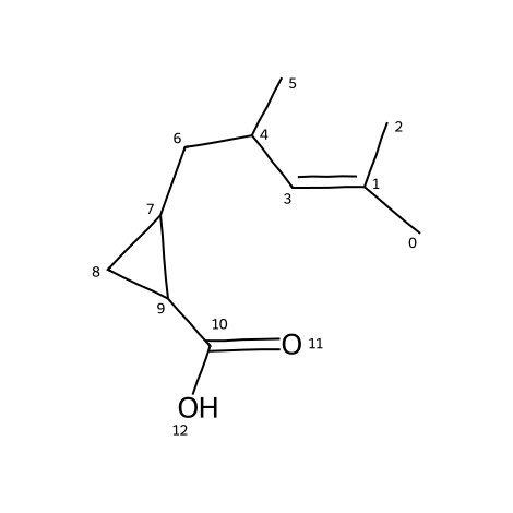 CC(C)=CC(C)CC1CC1C(=O)O